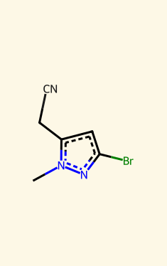 Cn1nc(Br)cc1CC#N